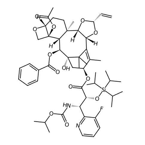 C=C[C@@H]1O[C@@H]2C3=C(C)[C@@H](OC(=O)[C@H](O[Si](C(C)C)(C(C)C)C(C)C)[C@@H](NC(=O)OC(C)C)c4ncccc4F)C[C@@](O)([C@@H](OC(=O)c4ccccc4)[C@H]4[C@@](C)(CC[C@H]5OC[C@]54OC(C)=O)[C@@H]2O1)C3(C)C